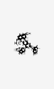 CCc1c(F)ccc2cc(O)cc(N3CCc4c(nc(OC[C@@]56CCCN5C[C@H](F)C6)nc4N4C[C@H]5CC[C@H](O)[C@H]5C4)C3)c12